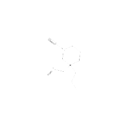 C#CN1CCCC(CCC)(CN=C)C1